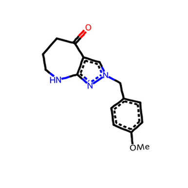 COc1ccc(Cn2cc3c(n2)NCCCC3=O)cc1